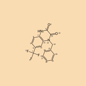 O=c1[nH]c2ccc(C(F)(F)F)cc2n(Cc2ccccc2)c1=O